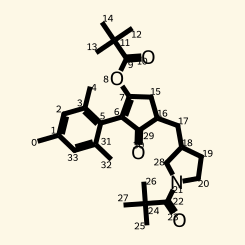 Cc1cc(C)c(C2=C(OC(=O)C(C)(C)C)CC(CC3CCN(C(=O)C(C)(C)C)C3)C2=O)c(C)c1